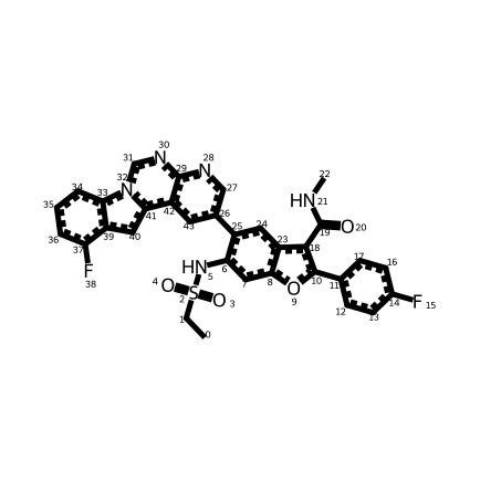 CCS(=O)(=O)Nc1cc2oc(-c3ccc(F)cc3)c(C(=O)NC)c2cc1-c1cnc2ncn3c4cccc(F)c4cc3c2c1